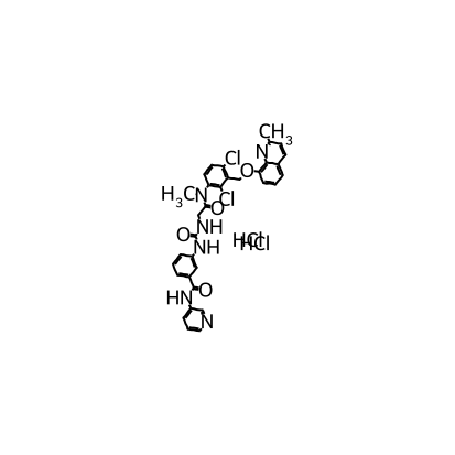 Cc1ccc2cccc(OCc3c(Cl)ccc(N(C)C(=O)CNC(=O)Nc4cccc(C(=O)Nc5cccnc5)c4)c3Cl)c2n1.Cl.Cl